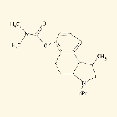 CCCN1CC(C)C2c3cccc(OC(=O)N(C)C)c3CCC21